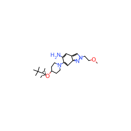 COCCn1cc2cc(N)c(N3CCC(O[Si](C)(C)C(C)(C)C)CC3)cc2n1